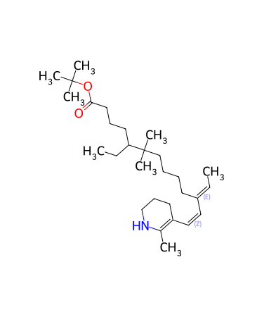 C/C=C(/C=C\C1=C(C)NCCC1)CCCCC(C)(C)C(CC)CCCC(=O)OC(C)(C)C